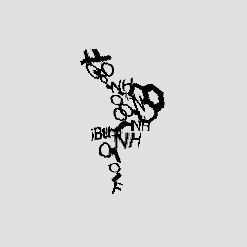 CC[C@H](C)[C@H](NC(=O)COCCF)C(=O)N[C@H]1CCc2cccc3c2N(C1=O)[C@H](C(=O)NCB1OC(C)(C)C(C)(C)O1)C3